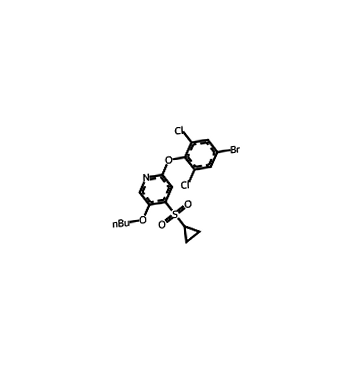 CCCCOc1cnc(Oc2c(Cl)cc(Br)cc2Cl)cc1S(=O)(=O)C1CC1